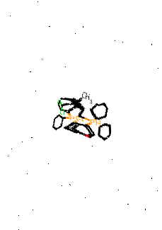 CC(=CC([PH](C1CCCCC1)(C1CCCCC1)C1CCCCC1)[PH](C1CCCCC1)(C1CCCCC1)C1CCCCC1)C(Cl)Cl